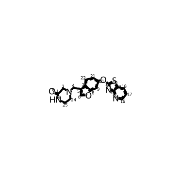 O=C1CN(Cc2coc3cc(Oc4nc5ncccc5s4)ccc23)CCN1